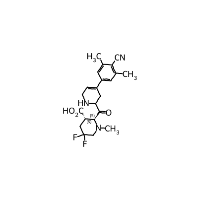 Cc1cc(C2=CCNC(C(=O)[C@@H]3[C@@H](C(=O)O)CC(F)(F)CN3C)C2)cc(C)c1C#N